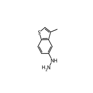 Cc1csc2ccc(NN)cc12